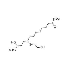 CCCCCCC(O)CCC(CCCCCCCC(=O)OC)SCCS